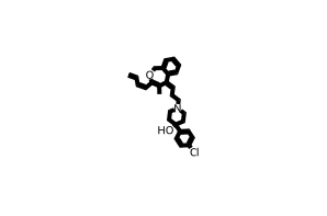 C=C/C=C\C1=C(C)C(=CCCN2CCC(O)(c3ccc(Cl)cc3)CC2)c2ccccc2CO1